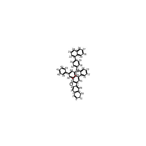 C1=Cc2cc3oc4ccc(-c5ccccc5N(c5ccc(-c6cccc7ccccc67)cc5)c5cccc(-c6ccccc6)c5)cc4c3cc2CC1